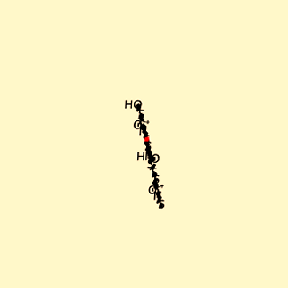 CSCC/N=C/[S+]([O-])CCSCSCCSC(=O)NCCSCSCC/N=C/[S+]([O-])CCSCCO